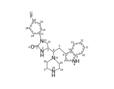 O=C1NC(C(Cc2c[nH]c3ccccc23)N2CCNCC2)CN1c1ccc(F)cc1